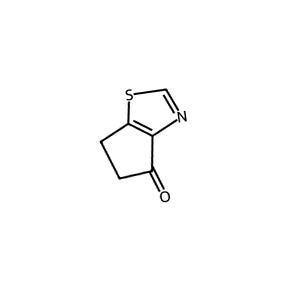 O=C1CCc2scnc21